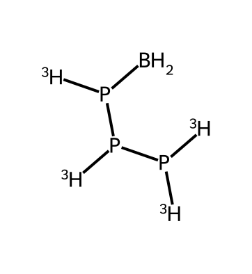 [3H]P([3H])P([3H])P([3H])B